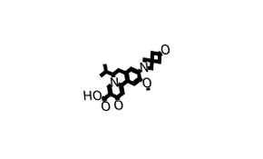 COc1cc2c(cc1N1CC3(CC(=O)C3)C1)CC(C(C)C)n1cc(C(=O)O)c(=O)cc1-2